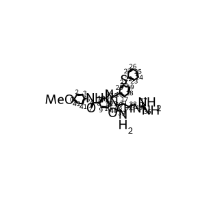 COc1ccc(NC(=O)c2ccc3c(c2)nc(-c2cccc(Sc4ccccc4)c2)n3C(CCCNC(=N)N)C(N)=O)cc1